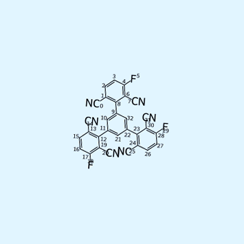 N#Cc1ccc(F)c(C#N)c1-c1cc(-c2c(C#N)ccc(F)c2C#N)cc(-c2c(C#N)ccc(F)c2C#N)c1